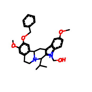 COc1ccc2c(c1)c1c(n2CO)C(C(C)C)N2CCc3cc(OC)c(OCc4ccccc4)cc3C2C1